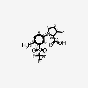 CC1CCN(c2ccc(N)c(S(=O)(=O)C(F)(F)F)c2)C1C(=O)O